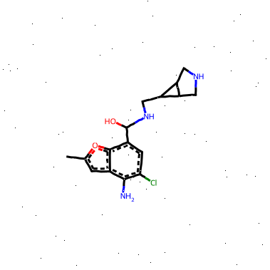 Cc1cc2c(N)c(Cl)cc(C(O)NCC3C4CNCC43)c2o1